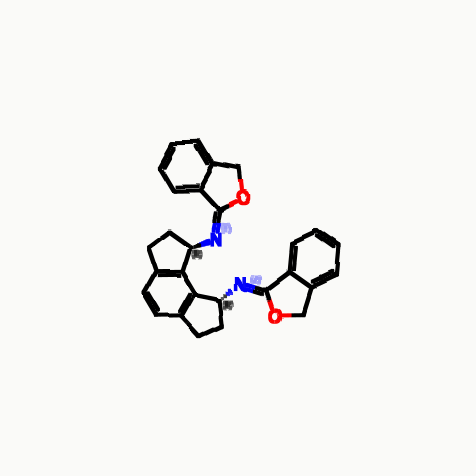 c1ccc2c(c1)CO/C2=N\[C@@H]1CCc2ccc3c(c21)[C@H](/N=C1/OCc2ccccc21)CC3